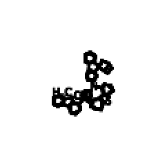 CC1(C)c2ccccc2-c2cccc(-c3ccc(N(c4ccc5c(c4)C4(CC6CCC4C6)c4ccccc4-5)c4cccc5sc6ccccc6c45)cc3)c21